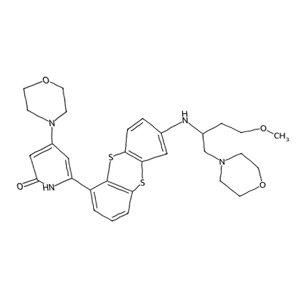 COCCC(CN1CCOCC1)Nc1ccc2c(c1)Sc1cccc(-c3cc(N4CCOCC4)cc(=O)[nH]3)c1S2